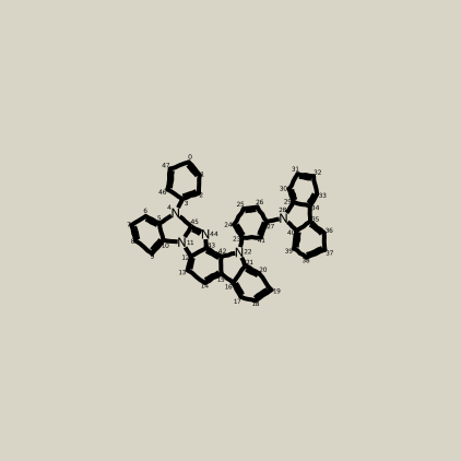 c1ccc(-n2c3ccccc3n3c4ccc5c6ccccc6n(-c6cccc(-n7c8ccccc8c8ccccc87)c6)c5c4nc23)cc1